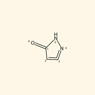 O=C1C=C=NN1